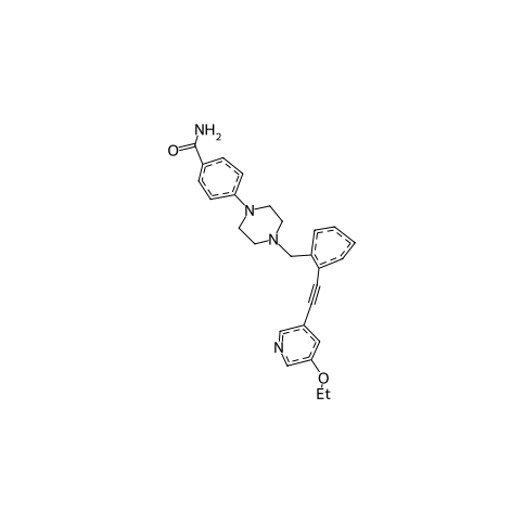 CCOc1cncc(C#Cc2ccccc2CN2CCN(c3ccc(C(N)=O)cc3)CC2)c1